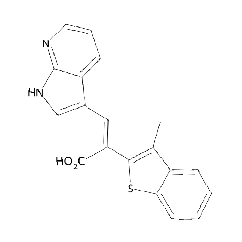 Cc1c(C(=Cc2c[nH]c3ncccc23)C(=O)O)sc2ccccc12